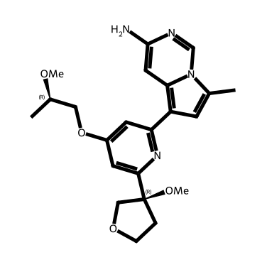 CO[C@H](C)COc1cc(-c2cc(C)n3cnc(N)cc23)nc([C@]2(OC)CCOC2)c1